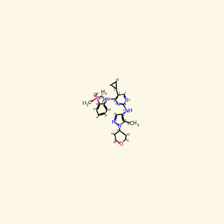 Cc1c(Nc2ncc(C3CC3)c(Nc3ccccc3P(C)(C)=O)n2)cnn1C1CCOCC1